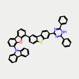 c1ccc(C2=NC(c3ccc4c(c3)sc3ccc(-c5cccc6c5oc5c(-n7c8ccccc8c8ccccc87)cccc56)cc34)=NC(c3ccccc3)N2)cc1